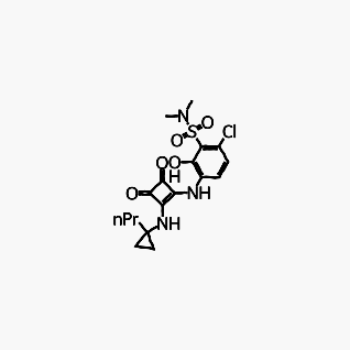 CCCC1(Nc2c(Nc3ccc(Cl)c(S(=O)(=O)N(C)C)c3O)c(=O)c2=O)CC1